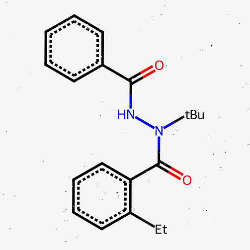 CCc1ccccc1C(=O)N(NC(=O)c1ccccc1)C(C)(C)C